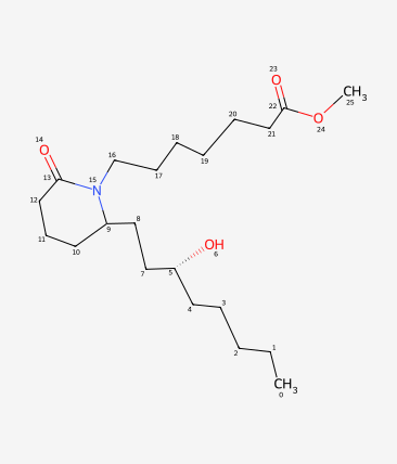 CCCCC[C@@H](O)CCC1CCCC(=O)N1CCCCCCC(=O)OC